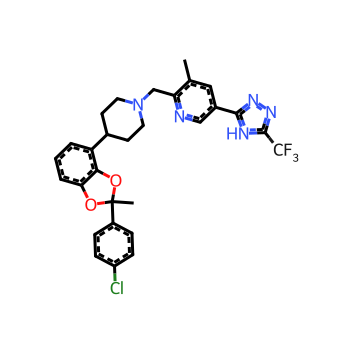 Cc1cc(-c2nnc(C(F)(F)F)[nH]2)cnc1CN1CCC(c2cccc3c2OC(C)(c2ccc(Cl)cc2)O3)CC1